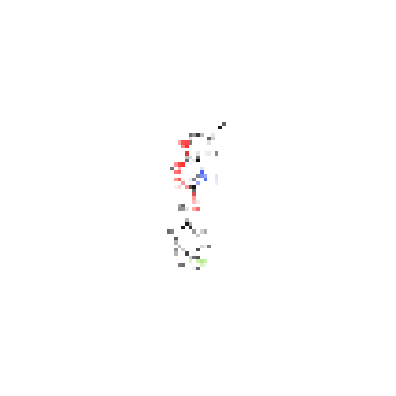 COC(=O)[C@H](CC(C)C)NC(=O)OCC1CCC(F)(F)CC1